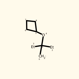 [CH2]C(CC)(CC)OC1CCC1